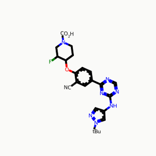 CC(C)(C)n1cc(Nc2ncnc(-c3ccc(OC4CCN(C(=O)O)CC4F)c(C#N)c3)n2)cn1